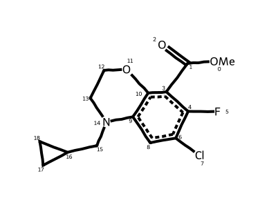 COC(=O)c1c(F)c(Cl)cc2c1OCCN2CC1CC1